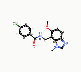 COc1ccc2ncn(C)c2c1CNC(=O)c1ccc(Cl)cc1